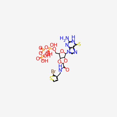 Nc1nc2c(ncn2C2OC(COP(=O)(O)OP(=O)(O)OP(=O)(O)O)C3OC(C(=O)NCc4ccsc4Br)OC32)c(=S)[nH]1